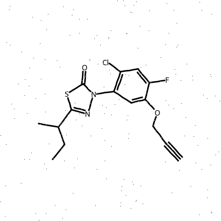 C#CCOc1cc(-n2nc(C(C)CC)sc2=O)c(Cl)cc1F